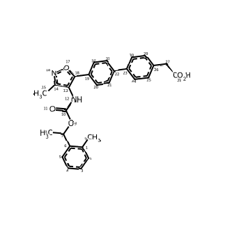 Cc1ccccc1C(C)OC(=O)Nc1c(C)noc1-c1ccc(-c2ccc(CC(=O)O)cc2)cc1